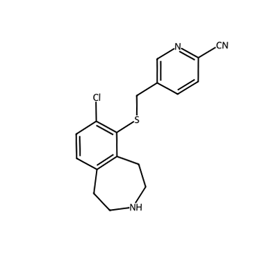 N#Cc1ccc(CSc2c(Cl)ccc3c2CCNCC3)cn1